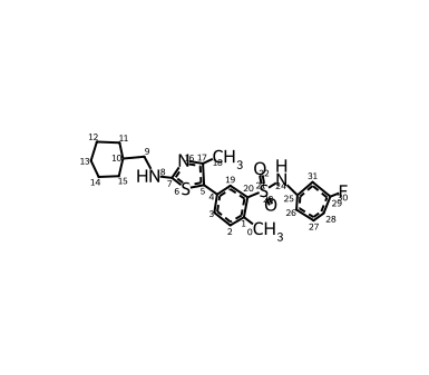 Cc1ccc(-c2sc(NCC3CCCCC3)nc2C)cc1S(=O)(=O)Nc1cccc(F)c1